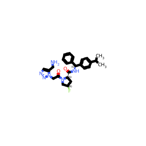 CC(C)c1ccc([C@@H](NC(=O)[C@@H]2C[C@@H](F)CN2C(=O)Cn2nncc2CN)c2ccccc2)cc1